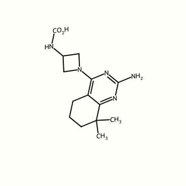 CC1(C)CCCc2c(N3CC(NC(=O)O)C3)nc(N)nc21